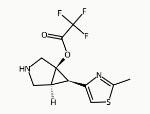 Cc1nc([C@H]2[C@H]3CNC[C@@]32OC(=O)C(F)(F)F)cs1